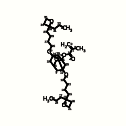 C=C(C)C(=O)OC12CC3CC(OCCCCC4(CCC)CCO4)(CC(OCCCCC4(CCC)CCO4)(C3)C1)C2